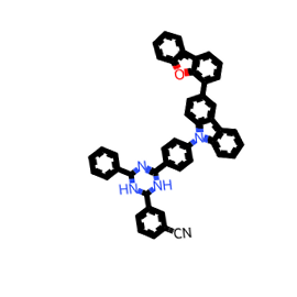 N#Cc1cccc(C2NC(c3ccc(-n4c5ccccc5c5cc(-c6cccc7c6oc6ccccc67)ccc54)cc3)=NC(c3ccccc3)N2)c1